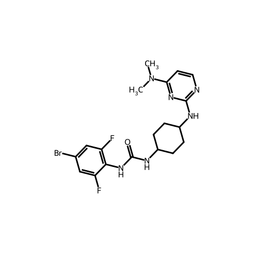 CN(C)c1ccnc(NC2CCC(NC(=O)Nc3c(F)cc(Br)cc3F)CC2)n1